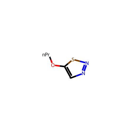 CCCOc1[c]nns1